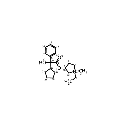 CC[N+]1(C)CC[C@@H](OC(=O)C(O)(c2ccccc2)C2CCCC2)C1